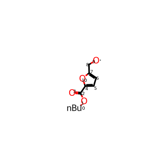 CCCCOC(=O)c1ccc(C[O])o1